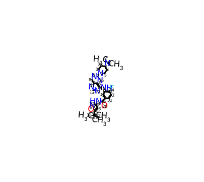 CN(C)C1CCN(c2ncc3ncnc(Nc4cc(C(=O)Nc5cc(C(C)(C)C)on5)ccc4F)c3n2)CC1